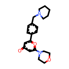 O=c1cc(-c2ccc(CN3CCCCC3)cc2)oc(N2CCOCC2)c1